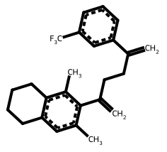 C=C(CCC(=C)c1c(C)cc2c(c1C)CCCC2)c1cccc(C(F)(F)F)c1